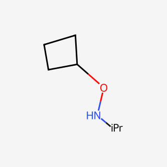 CC(C)NOC1CCC1